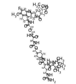 CC[C@@]1(O)C(=O)OCc2c1cc1n(c2=O)Cc2c-1nc1cc(F)c(C)c3c1c2[C@@H](NC(=O)COCNC(=O)CNC(=O)OCc1ccc(NC(=O)[C@H](CCCNC(N)=O)NC(=O)[C@@H](NC(C)C)C(C)C)cc1)CC3